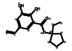 C=Cc1cc(O)c(O)c(C(=O)OC2(CC)CCCC2)c1